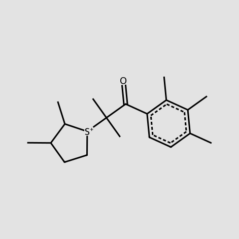 Cc1ccc(C(=O)C(C)(C)[S+]2CCC(C)C2C)c(C)c1C